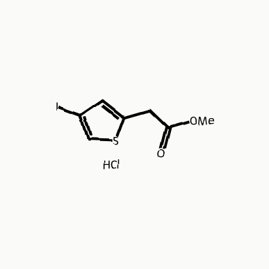 COC(=O)Cc1cc(I)cs1.Cl